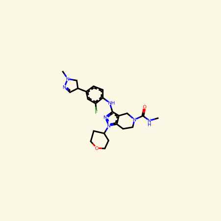 CNC(=O)N1CCc2c(c(Nc3ccc(C4C=NN(C)C4)cc3F)nn2C2CCOCC2)C1